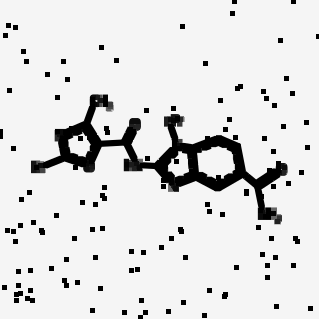 CCCn1c(NC(=O)c2oc(CC)nc2C)nc2cc(C(N)=O)ccc21